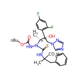 CCCCOC(=O)NN(C(=S)NC(C)(Cc1ccccc1)C(=O)O)[C@H](C)[C@](O)(Cn1cncn1)c1ccc(F)cc1F